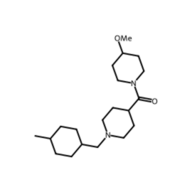 COC1CCN(C(=O)C2CCN(CC3CCC(C)CC3)CC2)CC1